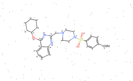 COc1ccc(S(=O)(=O)N2CCN(Cc3nc(OC4CCCCC4)c4ccccc4n3)CC2)cc1